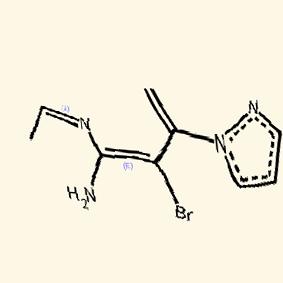 C=C(/C(Br)=C(N)\N=C/C)n1cccn1